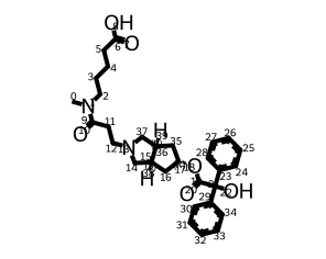 CN(CCCCC(=O)O)C(=O)CCN1C[C@H]2C[C@@H](OC(=O)C(O)(c3ccccc3)c3ccccc3)C[C@H]2C1